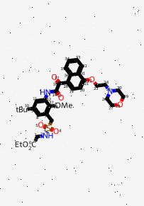 CCOC(=O)CNS(=O)(=O)Cc1cc(C(C)(C)C)cc(NC(=O)C(=O)c2ccc(OCCN3CCOCC3)c3ccccc23)c1OC